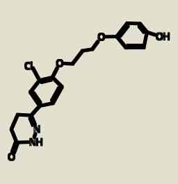 O=C1CCC(c2ccc(OCCCOc3ccc(O)cc3)c(Cl)c2)=NN1